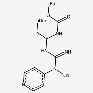 CCCCCCCCCCCC(NC(=N)N(C#N)c1ccncc1)NC(=O)OC(C)(C)C